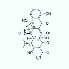 CN(C)[C@@H]1C(O)=C(C(N)=O)C(=O)[C@@]2(O)C(O)=C3C(=O)c4c(O)cccc4[C@@](C)(O)[C@H]3[C@H](O)[C@@H]12.[KH]